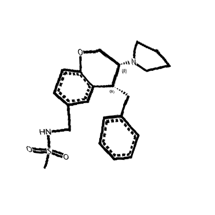 CS(=O)(=O)NCc1ccc2c(c1)[C@@H](Cc1ccccc1)[C@@H](N1CCCC1)CO2